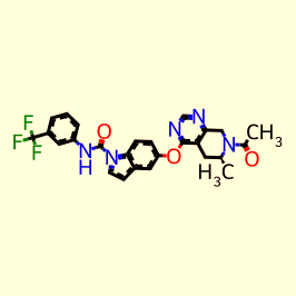 CC(=O)N1Cc2ncnc(Oc3ccc4c(ccn4C(=O)Nc4cccc(C(F)(F)F)c4)c3)c2C[C@@H]1C